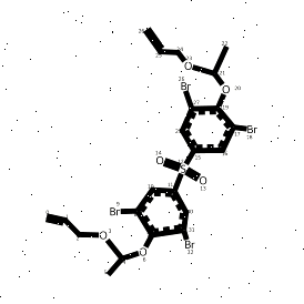 C=CCOC(C)Oc1c(Br)cc(S(=O)(=O)c2cc(Br)c(OC(C)OCC=C)c(Br)c2)cc1Br